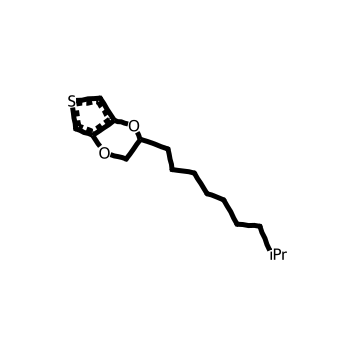 CC(C)CCCCCCCC1COc2cscc2O1